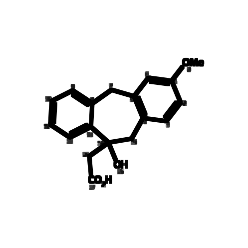 COc1ccc2c(c1)Cc1ccccc1C(O)(CC(=O)O)C2